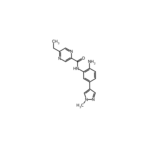 CCc1cnc(C(=O)Nc2cc(-c3cnn(C)c3)ccc2N)cn1